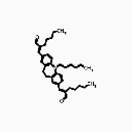 CCCCCCN1c2ccc(/C=C(/C=O)CCCCC)cc2CCc2cc(/C=C(/C=O)CCCCC)ccc21